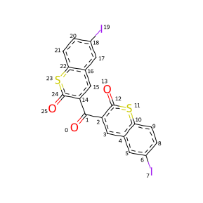 O=C(c1cc2cc(I)ccc2sc1=O)c1cc2cc(I)ccc2sc1=O